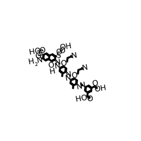 Cc1cc(N=Nc2cc(OCCC#N)c(N=Nc3c(SOOO)cc4cc(S(=O)(=O)O)c(N)cc4c3O)cc2C)c(OCCC#N)cc1N=Nc1cc(C(=O)O)cc(C(=O)O)c1